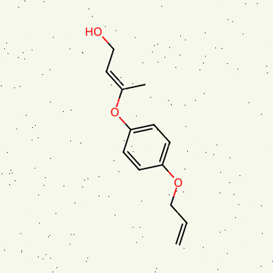 C=CCOc1ccc(O/C(C)=C/CO)cc1